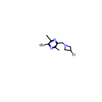 CCC1CN(Cc2nc(C)c(C(C)(C)C)nc2C)C1